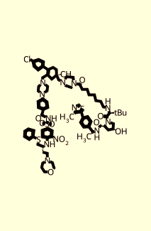 Cc1ncsc1-c1ccc([C@H](C)NC(=O)[C@@H]2C[C@@H](O)CN2C(=O)[C@@H](NCCCCCCCC(=O)N2CCN(C[C@]3(C)CCC(c4ccc(Cl)cc4)=C(CN4CCN(c5ccc(C(=O)NS(=O)(=O)c6ccc(N[C@H](CCN7CCCOCC7)CSc7ccccc7)c([N+](=O)[O-])c6)cc5)CC4)C3)CC2)C(C)(C)C)cc1